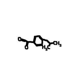 CC(C)Cc1ccc(C(=O)C=O)cc1